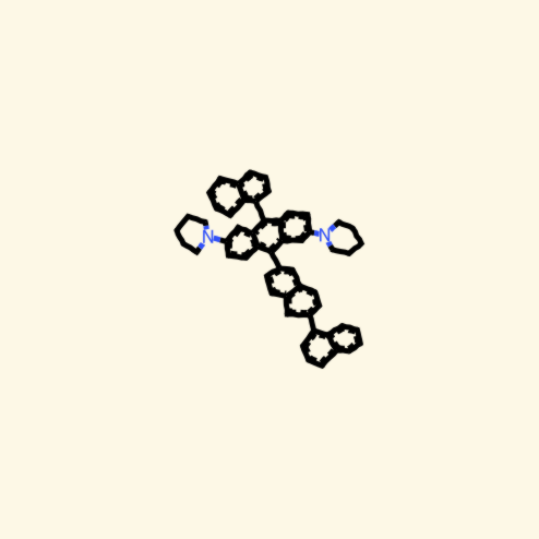 c1ccc2c(-c3ccc4cc(-c5c6cc(N7CCCCC7)ccc6c(-c6cccc7ccccc67)c6cc(N7CCCCC7)ccc56)ccc4c3)cccc2c1